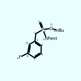 C=P(CCCCC)(Cc1cccc(F)c1)OCCCC